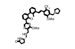 COc1cc(/C=C/c2cccc(-c3cccc(-c4cnc(CNC[C@@H]5CCC(=O)N5)c(OC)n4)c3Cl)c2C)c(C(F)(F)F)cc1CN1CCCC1